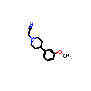 COc1cccc(C2CCN(CC#N)CC2)c1